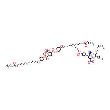 C=CC(=O)OCCCCCCCCCCCOc1ccc(OC(=O)c2ccc(C(=O)Oc3ccc(OCCCCCCC(CCCCOC(=O)C=C)CCCOC(=O)c4ccc(-c5cc([N+](=O)[O-])c(O[C@@H](C)CCCCCC)cc5N)cc4)cc3)cc2C(=O)O)cc1